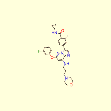 Cc1cc(-c2cnc3c(NCCCN4CCOCC4)cc(Oc4cccc(F)c4)nn23)ccc1C(=O)NC1CC1